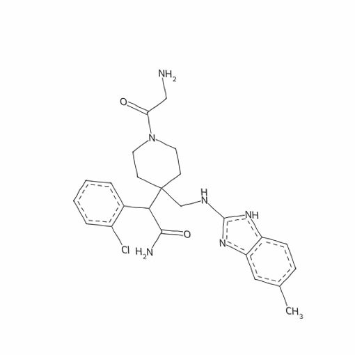 Cc1ccc2[nH]c(NCC3(C(C(N)=O)c4ccccc4Cl)CCN(C(=O)CN)CC3)nc2c1